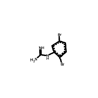 N=C(N)Nc1cc(Br)ccc1Br